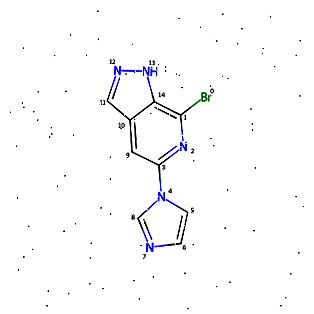 Brc1nc(-n2ccnc2)cc2cn[nH]c12